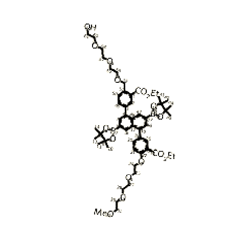 CCOC(=O)c1cc(-c2cc(B3OC(C)(C)C(C)(C)O3)cc3c(-c4ccc(OCCOCCOCCOC)c(C(=O)OCC)c4)cc(B4OC(C)(C)C(C)(C)O4)cc23)ccc1COCCOCCOCCO